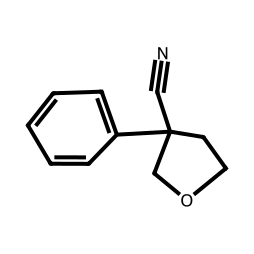 N#CC1(c2ccccc2)CCOC1